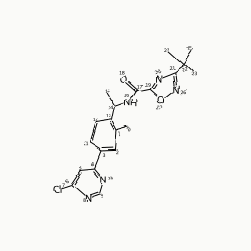 Cc1cc(-c2cc(Cl)ncn2)ccc1C(C)NC(=O)c1nc(C(C)(C)C)no1